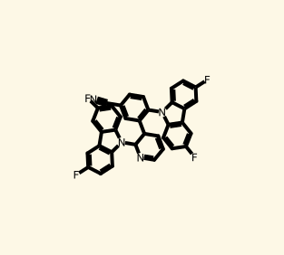 N#Cc1ccc(-n2c3ccc(F)cc3c3cc(F)ccc32)c(C2C=CC=NC2n2c3ccc(F)cc3c3cc(F)ccc32)c1